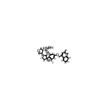 Cc1cc(COc2ccc([C@@]3(N)CCN([C@H]4COC[C@@H]4C(=O)NO)C3=O)cc2)c2ccccc2n1